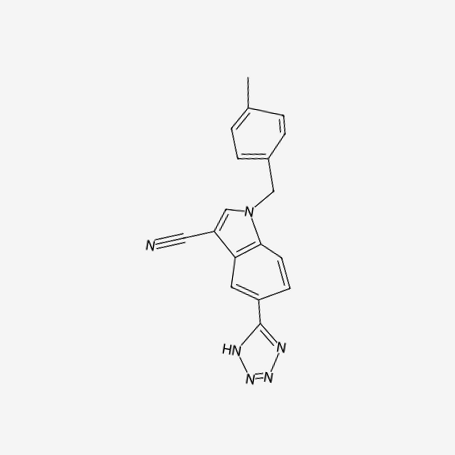 Cc1ccc(Cn2cc(C#N)c3cc(-c4nnn[nH]4)ccc32)cc1